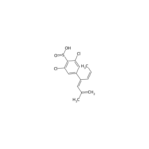 C=C(C)/C=C(\C=C/C)c1cc(Cl)c(S(=O)O)c(Cl)c1